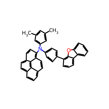 Cc1cc(C)cc(N(c2ccc(-c3cccc4c3oc3ccccc34)cc2)c2ccc3ccc4cccc5ccc2c3c45)c1